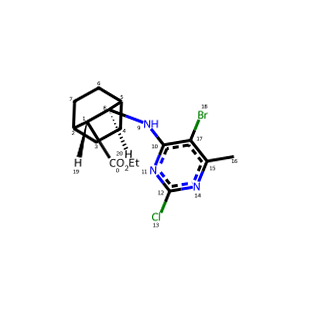 CCOC(=O)[C@@H]1C2CCC(CC2)[C@H]1Nc1nc(Cl)nc(C)c1Br